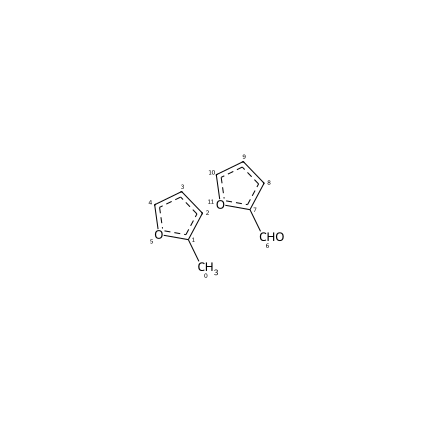 Cc1ccco1.O=Cc1ccco1